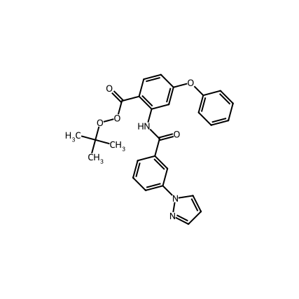 CC(C)(C)OOC(=O)c1ccc(Oc2ccccc2)cc1NC(=O)c1cccc(-n2cccn2)c1